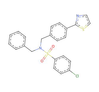 O=S(=O)(c1ccc(Cl)cc1)N(Cc1ccccc1)Cc1ccc(-c2nccs2)cc1